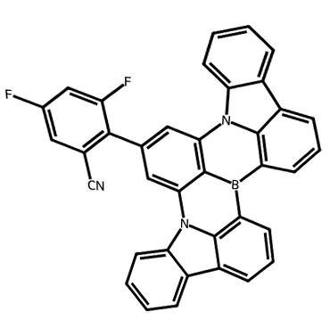 N#Cc1cc(F)cc(F)c1-c1cc2c3c(c1)-n1c4ccccc4c4cccc(c41)B3c1cccc3c4ccccc4n-2c13